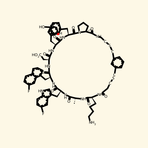 C[C@H]1NC(=O)[C@H](CCCCN)NC(=O)CCSCc2cccc(c2)CSCCNC(=O)[C@]2(C)CCCN2C(=O)[C@H](Cc2ccc(O)cc2)NC(=O)[C@H](Cc2cnc[nH]2)NC(=O)[C@H](CC(=O)O)NC(=O)[C@H](Cc2cccc3ccc(F)cc23)NC(=O)[C@H](Cc2c[nH]c3ccc(F)cc23)NC1=O